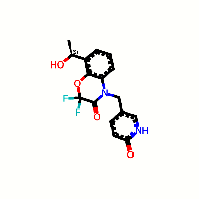 C[C@H](O)c1cccc2c1OC(F)(F)C(=O)N2Cc1ccc(=O)[nH]c1